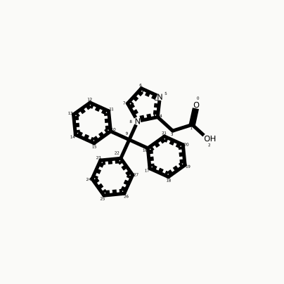 O=C(O)Cc1nccn1C(c1ccccc1)(c1ccccc1)c1ccccc1